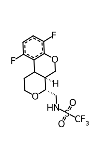 O=S(=O)(NC[C@@H]1OCCC2c3c(F)ccc(F)c3OC[C@H]21)C(F)(F)F